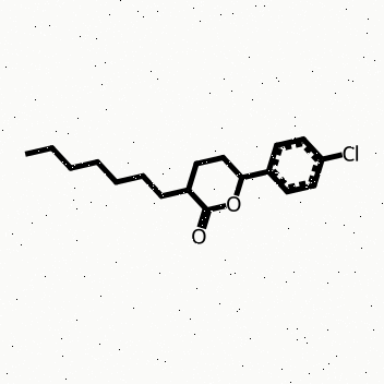 CCCCCCCC1CCC(c2ccc(Cl)cc2)OC1=O